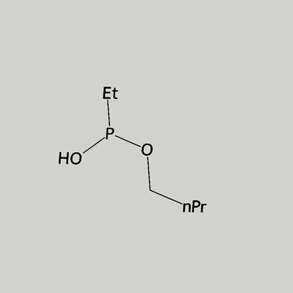 CCCCOP(O)CC